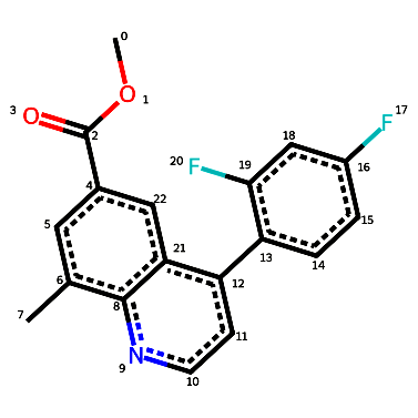 COC(=O)c1cc(C)c2nccc(-c3ccc(F)cc3F)c2c1